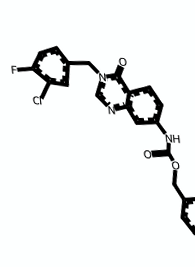 O=C(Nc1ccc2c(=O)n(Cc3ccc(F)c(Cl)c3)cnc2c1)OCc1ccccc1